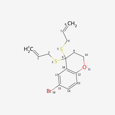 C=CCSC1(SCC=C)CCOc2ccc(Br)cc21